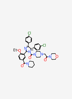 CCOc1ccc(C(=O)N2CCCCC2)cc1C1=N[C@@H](c2ccc(Cl)cc2)[C@@H](c2ccc(Cl)cc2)N1C(=O)N1CCN(CC(=O)N2CCOCC2)CC1